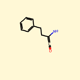 [NH]C(=C=O)CCc1ccccc1